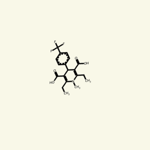 CCC1=C(C(=O)O)C(c2ccc(C(F)(F)F)cc2)C(C(=O)O)=C(CC)N1C